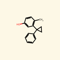 Cc1ccc(O)cc1C1(c2ccccc2)CC1